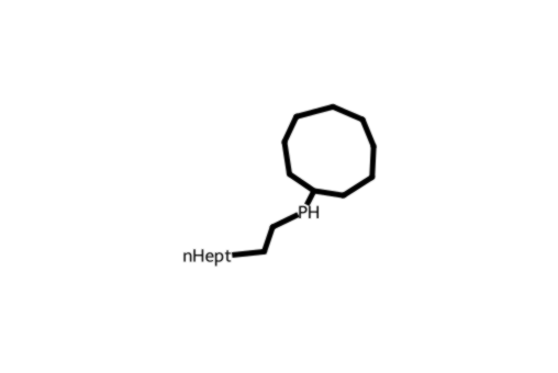 CCCCCCCCCPC1CCCCCCCC1